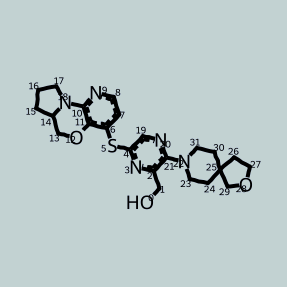 OCc1nc(Sc2ccnc3c2OCC2CCCN32)cnc1N1CCC2(CCOC2)CC1